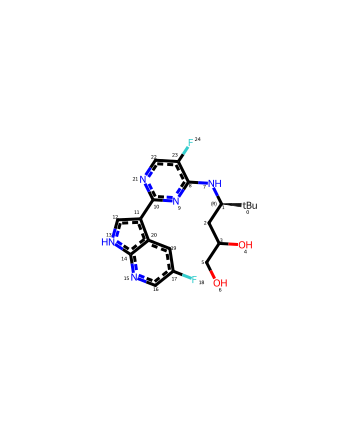 CC(C)(C)[C@@H](CC(O)CO)Nc1nc(-c2c[nH]c3ncc(F)cc23)ncc1F